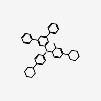 CC1C=C(C2CCCCC2)C=CC1N(c1ccc(C2CCCCC2)cc1)c1cc(-c2ccccc2)cc(-c2ccccc2)c1